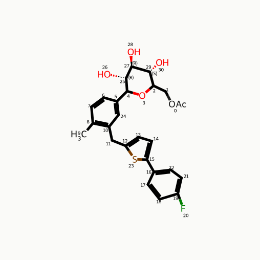 CC(=O)OCC1OC(c2ccc(C)c(Cc3ccc(-c4ccc(F)cc4)s3)c2)[C@H](O)[C@@H](O)[C@@H]1O